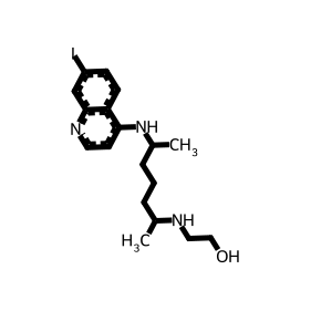 CC(CCCC(C)Nc1ccnc2cc(I)ccc12)NCCO